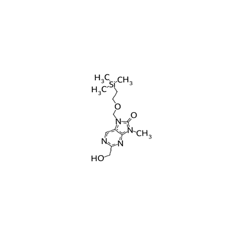 Cn1c(=O)n(COCC[Si](C)(C)C)c2cnc(CO)nc21